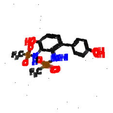 O=S(=O)(Nc1c(O)ccc(-c2ccc(O)cc2)c1NS(=O)(=O)C(F)(F)F)C(F)(F)F